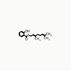 CC(C)=CCC/C(C)=C/CSC(=O)c1ccccc1O